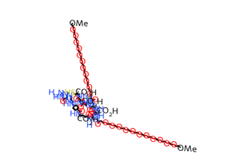 COCCOCCOCCOCCOCCOCCOCCOCCOCCOCCOCCOCCC(=O)NC[C@H](NC(=O)CC[C@@H](NC(=O)c1ccc(NCc2cnc3nc(N)[nH]c(=O)c3n2)cc1)C(=O)O)C(=O)N[C@@H](CC(=O)O)C(=O)N[C@@H](CNC(=O)CCOCCOCCOCCOCCOCCOCCOCCOCCOCCOCCOCCOC)C(=O)NC[C@H](N)C(=O)N[C@@H](CC(=O)O)C(=O)N[C@@H](CS)C(=O)O